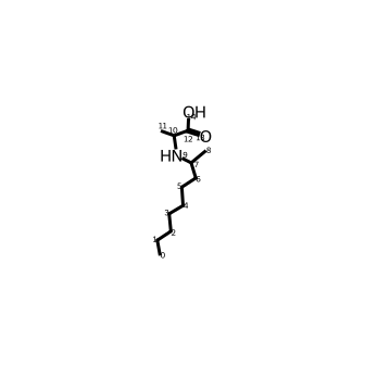 CCCCCCCC(C)NC(C)C(=O)O